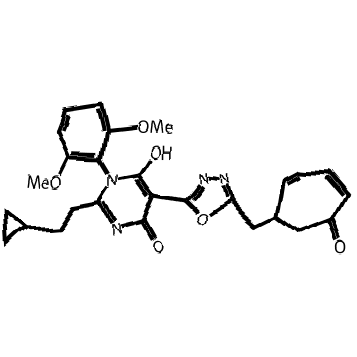 COc1cccc(OC)c1-n1c(CCC2CC2)nc(=O)c(-c2nnc(CC3C=CC=CC(=O)C3)o2)c1O